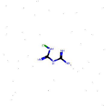 N=C(N)NC(=N)NCl